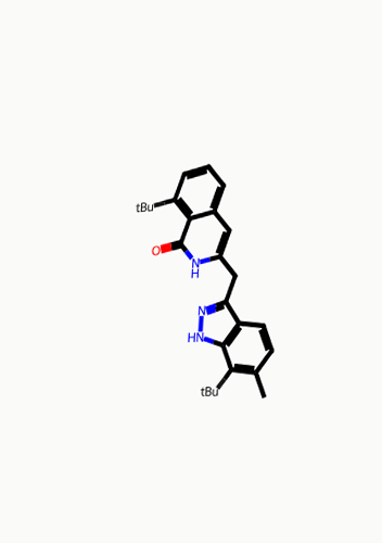 Cc1ccc2c(Cc3cc4cccc(C(C)(C)C)c4c(=O)[nH]3)n[nH]c2c1C(C)(C)C